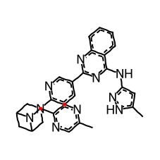 Cc1cnc(CN2C3CC2CN(c2ccc(-c4nc(Nc5cc(C)[nH]n5)c5ccccc5n4)cn2)C3)cn1